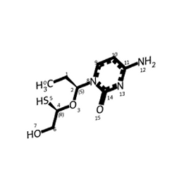 CC[C@H](O[C@H](S)CO)n1ccc(N)nc1=O